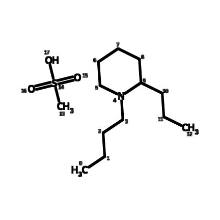 CCCCN1CCCCC1CCC.CS(=O)(=O)O